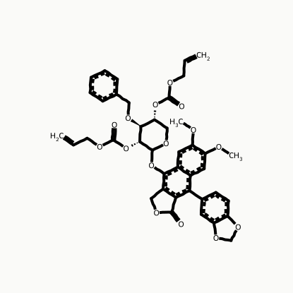 C=CCOC(=O)O[C@@H]1COC(Oc2c3c(c(-c4ccc5c(c4)OCO5)c4cc(OC)c(OC)cc24)C(=O)OC3)[C@H](OC(=O)OCC=C)[C@H]1OCc1ccccc1